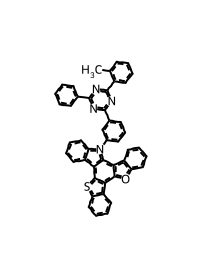 Cc1ccccc1-c1nc(-c2ccccc2)nc(-c2cccc(-n3c4ccccc4c4c5sc6ccccc6c5c5oc6ccccc6c5c43)c2)n1